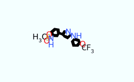 CS(=O)(=O)Nc1cccc(-c2ccc(Nc3cccc(OC(F)(F)F)c3)nc2)c1